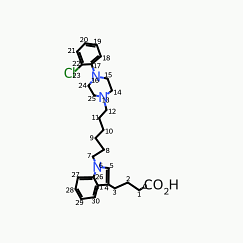 O=C(O)CCCc1cn(CCCCCCN2CCN(c3ccccc3Cl)CC2)c2ccccc12